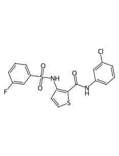 O=C(Nc1cccc(Cl)c1)c1sccc1NS(=O)(=O)c1cccc(F)c1